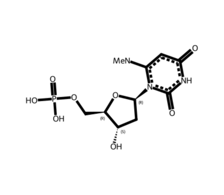 CNc1cc(=O)[nH]c(=O)n1[C@H]1C[C@H](O)[C@@H](COP(=O)(O)O)O1